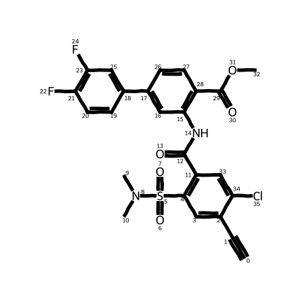 C#Cc1cc(S(=O)(=O)N(C)C)c(C(=O)Nc2cc(-c3ccc(F)c(F)c3)ccc2C(=O)OC)cc1Cl